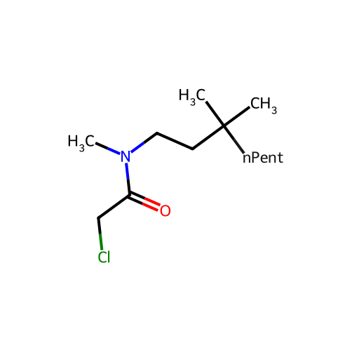 CCCCCC(C)(C)CCN(C)C(=O)CCl